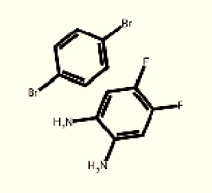 Brc1ccc(Br)cc1.Nc1cc(F)c(F)cc1N